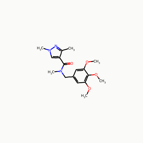 COc1cc(CN(C)C(=O)c2cn(C)nc2C)cc(OC)c1OC